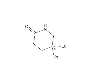 CC[C@]1(C(C)C)CCC(=O)NC1